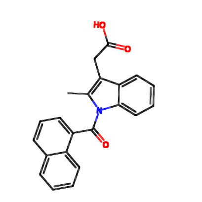 Cc1c(CC(=O)O)c2ccccc2n1C(=O)c1cccc2ccccc12